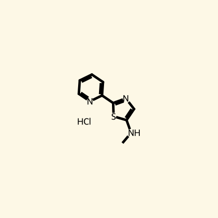 CNc1cnc(-c2ccccn2)s1.Cl